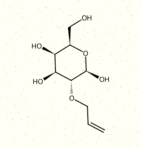 C=CCO[C@@H]1[C@@H](O)[C@@H](O)[C@@H](CO)O[C@H]1O